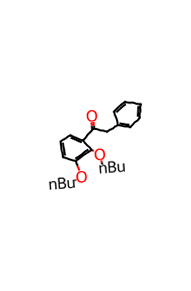 CCCCOc1cccc(C(=O)Cc2ccccc2)c1OCCCC